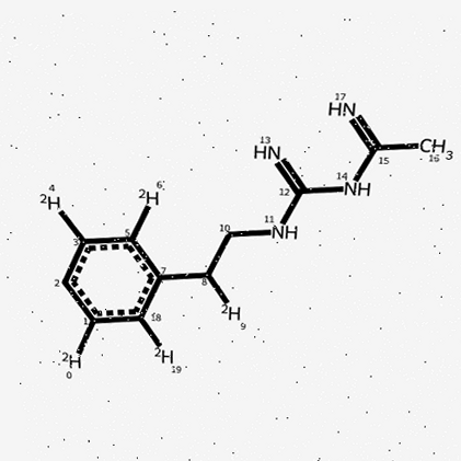 [2H]c1cc([2H])c([2H])c(C([2H])CNC(=N)NC(C)=N)c1[2H]